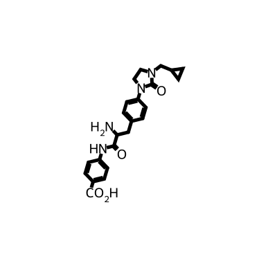 NC(Cc1ccc(N2CCN(CC3CC3)C2=O)cc1)C(=O)Nc1ccc(C(=O)O)cc1